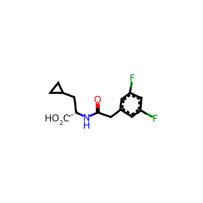 O=C(Cc1cc(F)cc(F)c1)N[C@@H](CC1CC1)C(=O)O